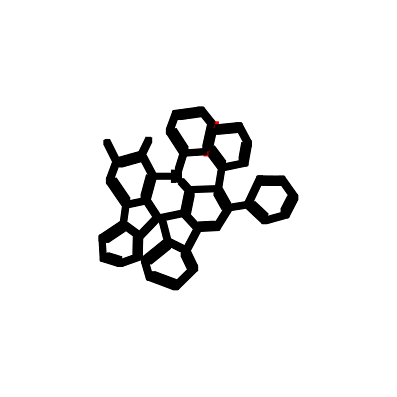 Cc1cc2c(c(N(c3ccccc3)c3c4c(cc(-c5ccccc5)c3-c3ccccc3)-c3ccccc3C4)c1C)Cc1ccccc1-2